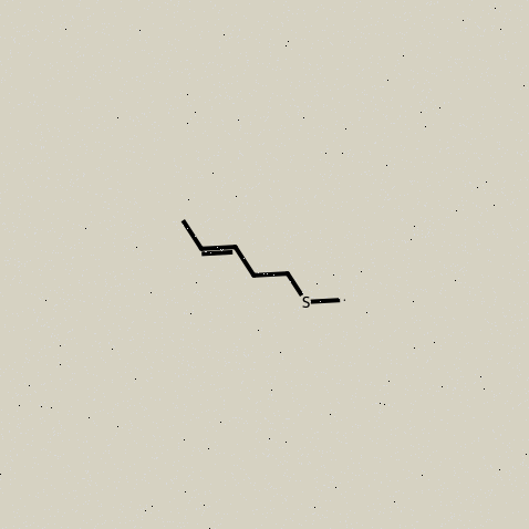 [CH2]SCCC=CC